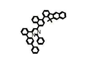 CC1(C)c2cc3ccccc3cc2-c2cccc(-c3ccc(-c4cc(-c5ccccc5-c5ccc(-c6ccccc6)cc5)nc(-c5ccccc5)n4)c4ccccc34)c21